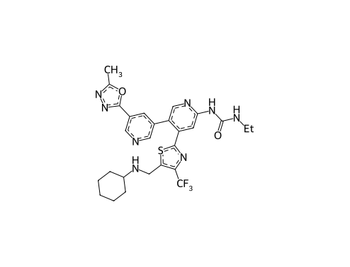 CCNC(=O)Nc1cc(-c2nc(C(F)(F)F)c(CNC3CCCCC3)s2)c(-c2cncc(-c3nnc(C)o3)c2)cn1